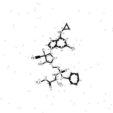 C#C[C@@]1(F)[C@H](O)[C@@H](CO[P@@](=O)(N[C@H](C)C(=O)OC)Oc2ccccc2)O[C@H]1n1cnc2c(NC3CC3)nc(N)nc21